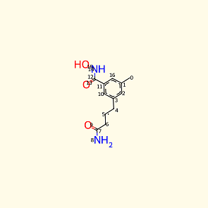 Cc1cc(C[CH]CC(N)=O)cc(C(=O)NO)c1